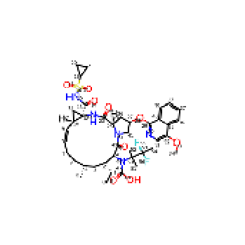 CC[C@@H]1C[C@H](C)CCC=C[C@@H]2C[C@@]2(C(=O)NS(=O)(=O)C2CC2)NC(=O)[C@@H]2C[C@@H](Oc3ncc(OC)c4ccccc34)CN2C(=O)[C@H]1N(C(=O)O)C(C)(C)C(C)(F)F